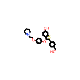 OCc1ccc(-c2sc3cc(O)ccc3c2Oc2ccc(OCCN3CCCCC3)cc2)cc1